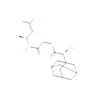 CN[C@H](C(=O)N[C@H](C(=O)N(C)[C@H](C=C(C)C(=O)O)C(C)C)C(C)(C)C)C12CC3CC(CC(C3)C1)C2